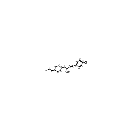 CCCC1CCC(CC(O)C#Cc2ccc(Cl)cc2)CC1